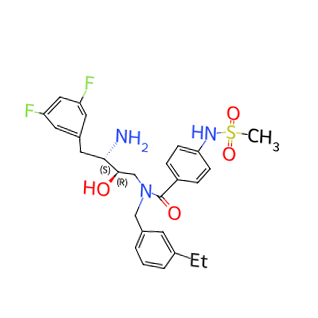 CCc1cccc(CN(C[C@@H](O)[C@@H](N)Cc2cc(F)cc(F)c2)C(=O)c2ccc(NS(C)(=O)=O)cc2)c1